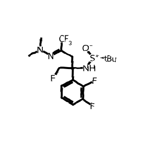 CN(C)N=C(CC(CF)(N[S@+]([O-])C(C)(C)C)c1cccc(F)c1F)C(F)(F)F